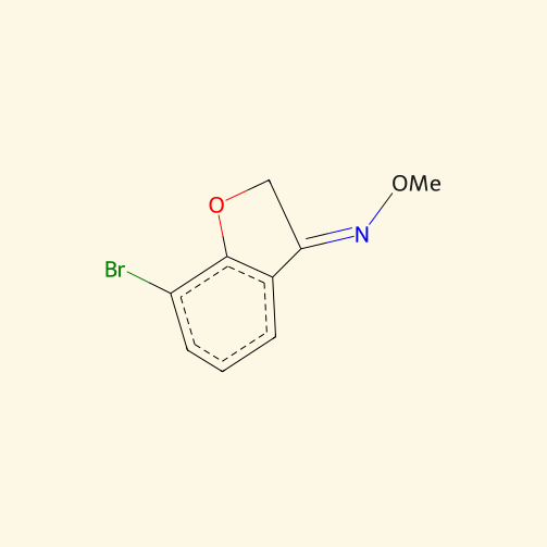 CON=C1COc2c(Br)cccc21